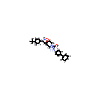 CC(C)(C)c1ccc(C2=NOC3(CCN(C(=O)Nc4ccc(-c5ccccc5)cc4)CC3)C2)cc1